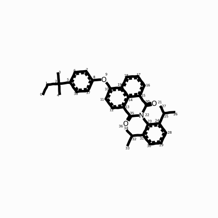 CCC(C)(C)c1ccc(Oc2ccc3c4c(cccc24)C(=O)N(c2c(C(C)C)cccc2C(C)C)C3=O)cc1